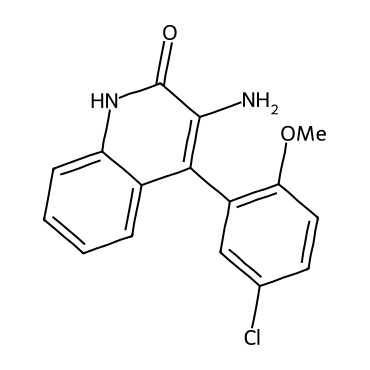 COc1ccc(Cl)cc1-c1c(N)c(=O)[nH]c2ccccc12